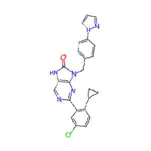 O=c1[nH]c2cnc(-c3cc(Cl)ccc3C3CC3)nc2n1Cc1ccc(-n2cccn2)cc1